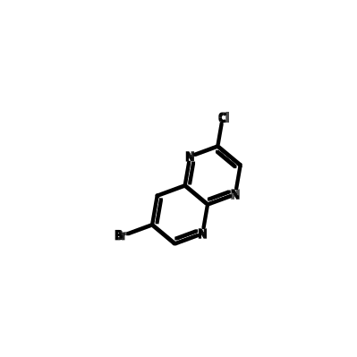 Clc1cnc2ncc(Br)cc2n1